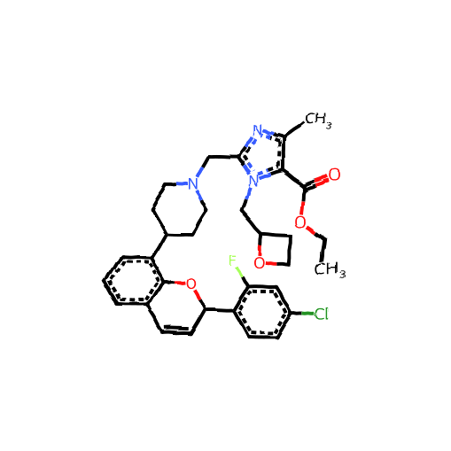 CCOC(=O)c1c(C)nc(CN2CCC(c3cccc4c3OC(c3ccc(Cl)cc3F)C=C4)CC2)n1CC1CCO1